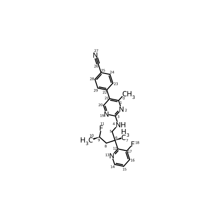 Cc1nc(NC[C@@](C)(C[C@@H](C)F)c2ncccc2F)ncc1-c1ccc(C#N)cc1